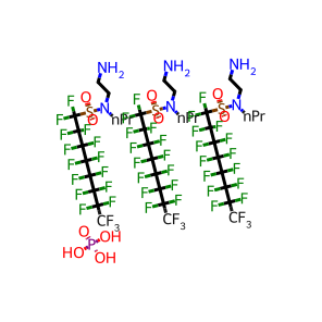 CCCN(CCN)S(=O)(=O)C(F)(F)C(F)(F)C(F)(F)C(F)(F)C(F)(F)C(F)(F)C(F)(F)C(F)(F)F.CCCN(CCN)S(=O)(=O)C(F)(F)C(F)(F)C(F)(F)C(F)(F)C(F)(F)C(F)(F)C(F)(F)C(F)(F)F.CCCN(CCN)S(=O)(=O)C(F)(F)C(F)(F)C(F)(F)C(F)(F)C(F)(F)C(F)(F)C(F)(F)C(F)(F)F.O=P(O)(O)O